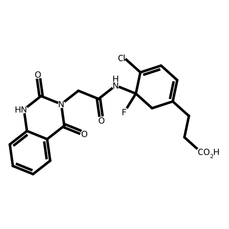 O=C(O)CCC1=CC=C(Cl)C(F)(NC(=O)Cn2c(=O)[nH]c3ccccc3c2=O)C1